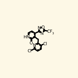 O=c1[nH]ccc(-c2noc(C(F)(F)F)n2)c1Cc1nc(Cl)ccc1Cl